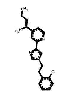 CC/C=C(\N)c1ccnc(-c2cn(CCc3ccccc3Cl)cn2)c1